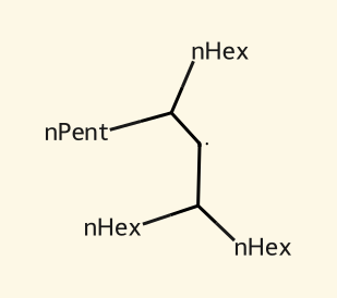 CCCCCCC([CH]C(CCCCCC)CCCCCC)CCCCC